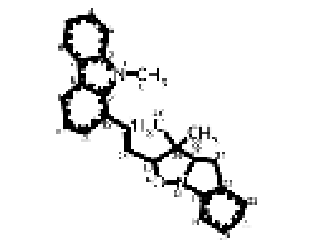 Cn1c2ccccc2c2cccc(C=CC3ON4c5ccccc5CC4C3(C)C)c21